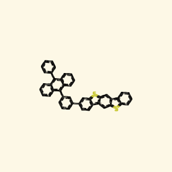 c1ccc(-c2c3ccccc3c(-c3cccc(-c4ccc5c(c4)sc4cc6c(cc45)sc4ccccc46)c3)c3ccccc23)cc1